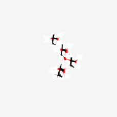 CCC(C)(O)C(=O)[O-].CCC(C)(O)C(=O)[O-].CCC(C)(O)C(=O)[O-].CCC(C)(O)C(=O)[O-].[Zr+4]